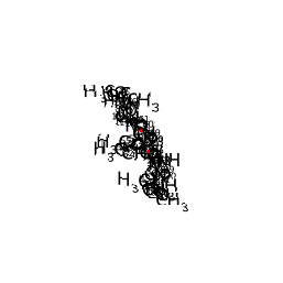 COC(=O)N[C@H](C(=O)N1CCC[C@H]1c1nc2cc([C@H]3CC[C@H](c4ccc5nc([C@@H]6CCCN6C(=O)[C@@H](NC(=O)OC)C(C)C)[nH]c5c4)N3c3c(C)cc(C(C)(C)C)cc3C)ccc2[nH]1)C(C)C